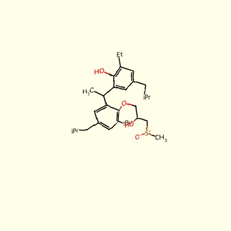 CCc1cc(CC(C)C)cc(C(C)c2cc(CC(C)C)cc(C(C)(C)C)c2OCC(O)C[S+](C)[O-])c1O